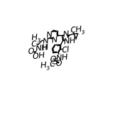 CC(CNc1nccc(-c2nc(C3(C)CC3)[nH]c2-c2cccc(NS(C)(=O)=O)c2Cl)n1)NC(=O)O